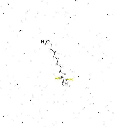 CCCCCCCCCCC(C)(S)S